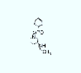 CCNC1CCCN(OC(=O)c2ccccc2)C1